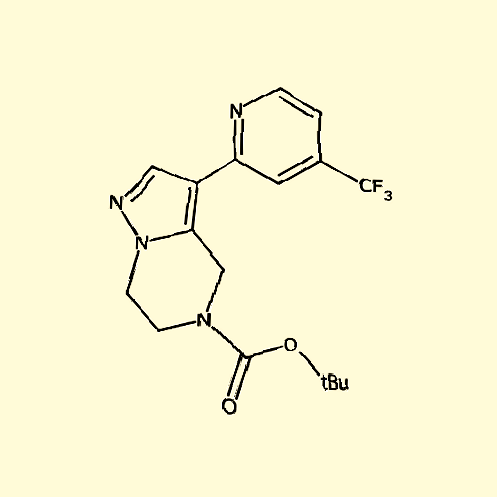 CC(C)(C)OC(=O)N1CCn2ncc(-c3cc(C(F)(F)F)ccn3)c2C1